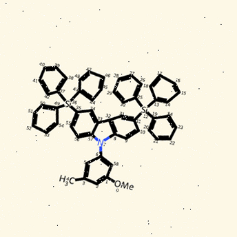 COc1cc(C)cc(-n2c3ccc([Si](c4ccccc4)(c4ccccc4)c4ccccc4)cc3c3cc([Si](c4ccccc4)(c4ccccc4)c4ccccc4)ccc32)c1